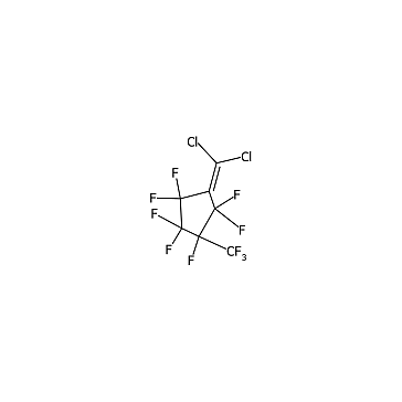 FC(F)(F)C1(F)C(F)(F)C(=C(Cl)Cl)C(F)(F)C1(F)F